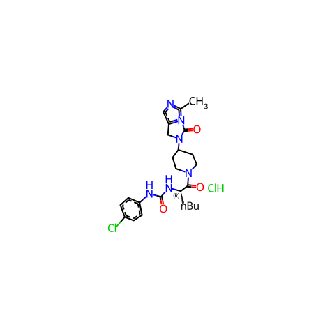 CCCC[C@@H](NC(=O)Nc1ccc(Cl)cc1)C(=O)N1CCC(N2Cc3cnc(C)n3C2=O)CC1.Cl